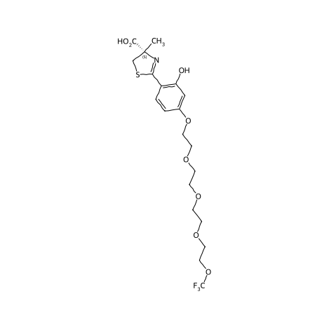 C[C@]1(C(=O)O)CSC(c2ccc(OCCOCCOCCOCCOC(F)(F)F)cc2O)=N1